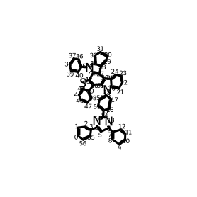 c1ccc(-c2cc(-c3ccccc3)nc(-c3ccc(-n4c5ccccc5c5c6c7ccccc7n(-c7ccccc7)c6c6sc7ccccc7c6c54)cc3)n2)cc1